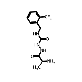 C[C@H](N)C(=O)NNC(=O)NCc1ccccc1C(F)(F)F